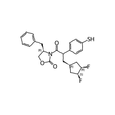 O=C1OC[C@@H](Cc2ccccc2)N1C(=O)C(C[C@H]1C[C@@H](F)[C@@H](F)C1)c1ccc(S)cc1